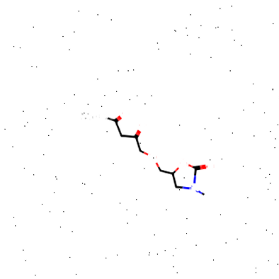 COC(=O)CC(=O)COCC1CN(C)C(=O)O1